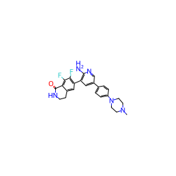 CN1CCN(c2ccc(-c3cnc(N)c(-c4cc5c(c(F)c4F)C(=O)NCC5)c3)cc2)CC1